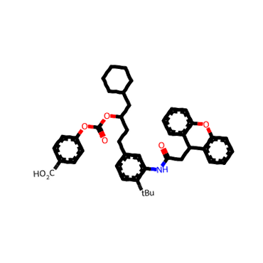 CC(C)(C)c1ccc(CCC(CC2CCCCC2)OC(=O)Oc2ccc(C(=O)O)cc2)cc1NC(=O)CC1c2ccccc2Oc2ccccc21